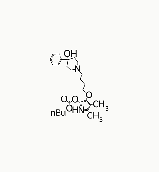 CCCCOC(=O)Oc1[nH]c(C)c(C)c1OCCCCN1CCC(O)(c2ccccc2)CC1